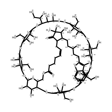 CC1(C)C(=O)C(C/C=C\CCCC(=O)OCC2OC3OC4C(CO)OC(OC5C(CO)OC(OC(C(O)CO)C(O)C(O)COC6C(CO)OC(OC7C(CO)OC(OC8C(CO)OC(OC9C(CO)OC(OC2C(O)C3O)C(O)C9O)C(O)C8O)C(O)C7O)C(O)C6O)C(O)C5O)C(O)C4O)C(CCC(O)CCc2sc3ccccc3c2Cl)C1O